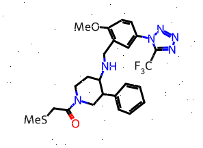 COc1ccc(-n2nnnc2C(F)(F)F)cc1CNC1CCN(C(=O)CSC)CC1c1ccccc1